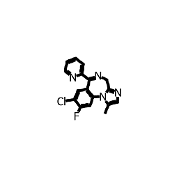 Cc1cnc2n1-c1cc(F)c(Cl)cc1C(c1ccccn1)=NC2